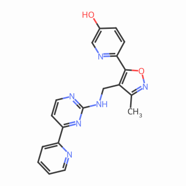 Cc1noc(-c2ccc(O)cn2)c1CNc1nccc(-c2ccccn2)n1